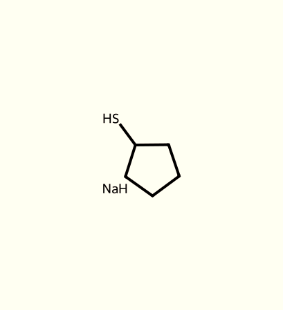 SC1CCCC1.[NaH]